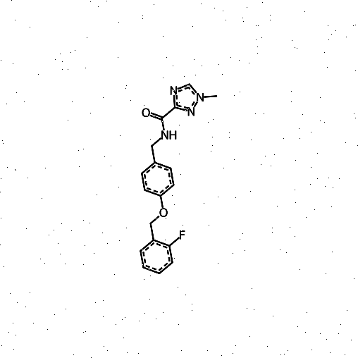 Cn1cnc(C(=O)NCc2ccc(OCc3ccccc3F)cc2)n1